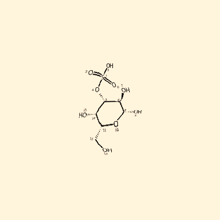 O=S(=O)(O)O[C@@H]1[C@@H](O)[C@H](O)O[C@H](CO)[C@@H]1O